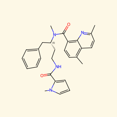 Cc1ccc2c(C)ccc(C(=O)N(C)[C@H](CCNC(=O)c3cccn3C)Cc3ccccc3)c2n1